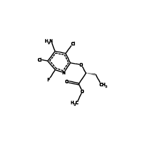 CC[C@@H](Oc1nc(F)c(Cl)c(N)c1Cl)C(=O)OC